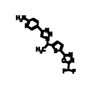 CC(c1ccc(-c2nnc(C(F)F)o2)s1)n1cc(-c2ccc(N)nc2)nn1